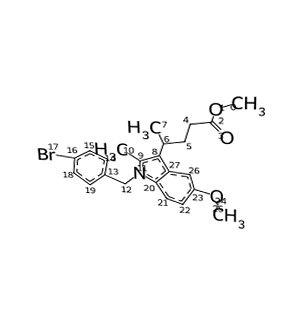 COC(=O)CCC(C)c1c(C)n(Cc2ccc(Br)cc2)c2ccc(OC)cc12